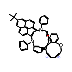 C=C1/C=C\C=C/COc2ccccc2C12c1cccc(c1)N(c1ccccc1)c1cc(c3ccc4cc(C(C)(C)C)cc5ccc1c3c54)N(c1ccccc1)c1cccc2c1